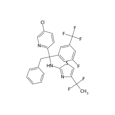 CC(F)(F)c1csc(NC(Cc2ccccc2)(c2cc(F)cc(C(F)(F)F)c2)c2ccc(Cl)cn2)n1